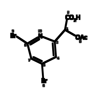 CC(=O)OC(C(=O)O)c1cc(Br)cc(Br)n1